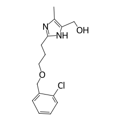 Cc1nc(CCCOCc2ccccc2Cl)[nH]c1CO